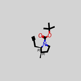 C#CC[C@@H]1[C@H](C)CCN1C(=O)OC(C)(C)C